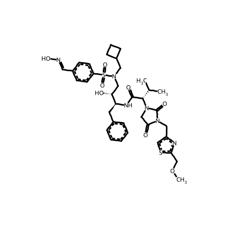 COCc1nc(CN2C(=O)CN([C@H](C(=O)N[C@@H](Cc3ccccc3)[C@H](O)CN(CC3CCC3)S(=O)(=O)c3ccc(/C=N/O)cc3)C(C)C)C2=O)cs1